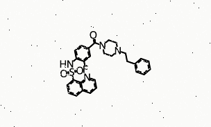 O=C(c1ccc(NS(=O)(=O)c2cccc3cccnc23)c(F)c1)N1CCN(CCc2ccccc2)CC1